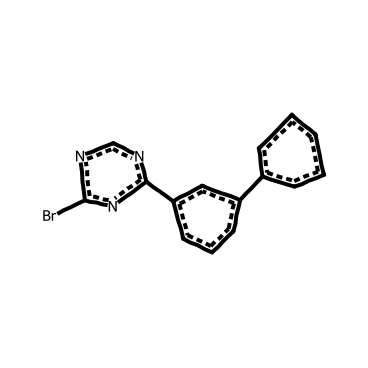 Brc1ncnc(-c2cccc(-c3ccccc3)c2)n1